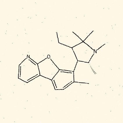 CCC1C(c2c(C)ccc3c2oc2ncccc23)[C@@H](C)N(C)C1(C)C